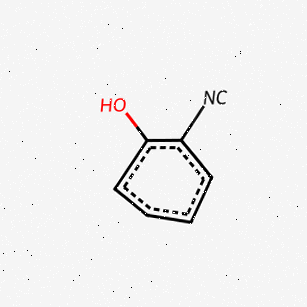 [C-]#[N+]c1ccccc1O